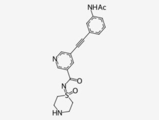 CC(=O)Nc1cccc(C#Cc2cncc(C(=O)N=S3(=O)CCNCC3)c2)c1